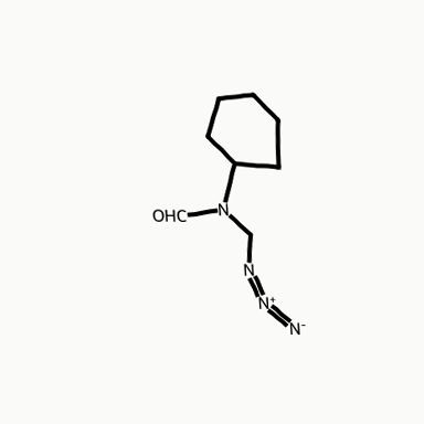 [N-]=[N+]=NCN(C=O)C1CCCCC1